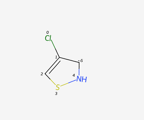 ClC1=CSN[C]1